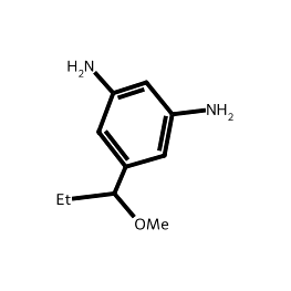 CCC(OC)c1cc(N)cc(N)c1